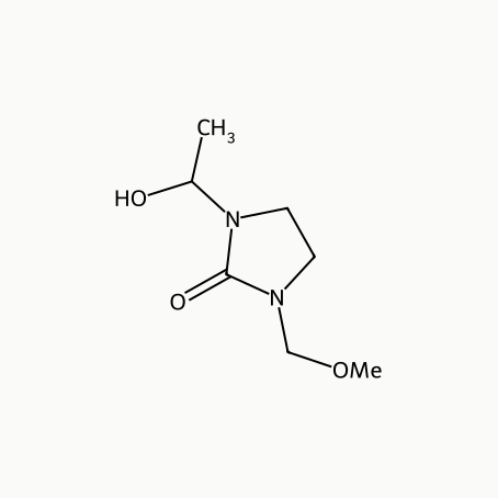 COCN1CCN(C(C)O)C1=O